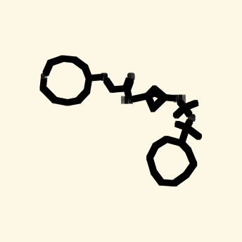 CC(C)(NC12CC(NC(=O)COC3CCCCCCCCCC3)(C1)C2)OC(C)(C)C1CCCCCCCCC1